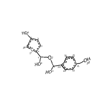 Oc1ccc(C(O)OC(O)c2ccc(O)cc2)cc1